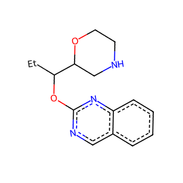 CCC(Oc1ncc2ccccc2n1)C1CNCCO1